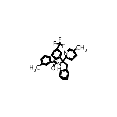 Cc1ccc(C(Cc2ccccc2)(NS(=O)(=O)c2cccc(C)c2)c2cccc(C(F)(F)F)c2)nc1